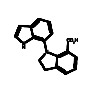 O=C(O)c1cccc2c1N(c1cccc3cc[nH]c13)CC2